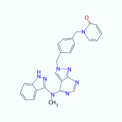 CN(c1ncnc2nn(Cc3ccc(Cn4ccccc4=O)cc3)cc12)c1n[nH]c2ccccc12